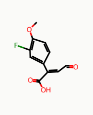 COc1ccc(/C(=C\C=O)C(=O)O)cc1F